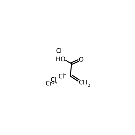 C=CC(=O)O.[Cl-].[Cl-].[Cl-].[Cr+3]